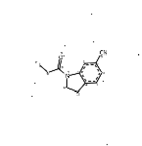 N#Cc1ccc2c(c1)N(C(=O)CI)CC2